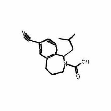 CC(C)CC1c2ccc(C#N)cc2CCCN1C(=O)O